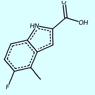 Cc1c(F)ccc2[nH]c(C(=O)O)cc12